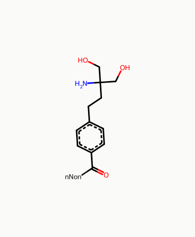 CCCCCCCCCC(=O)c1ccc(CCC(N)(CO)CO)cc1